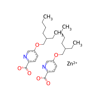 CCCCC(CC)COc1ccc(C(=O)[O-])nc1.CCCCC(CC)COc1ccc(C(=O)[O-])nc1.[Zn+2]